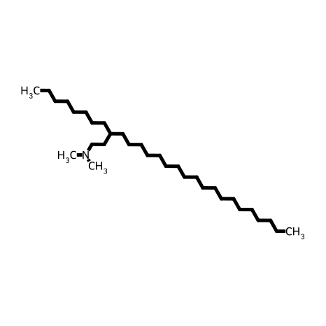 CCCCCCCCCCCCCCCCCCCC(CCCCCCCC)CCN(C)C